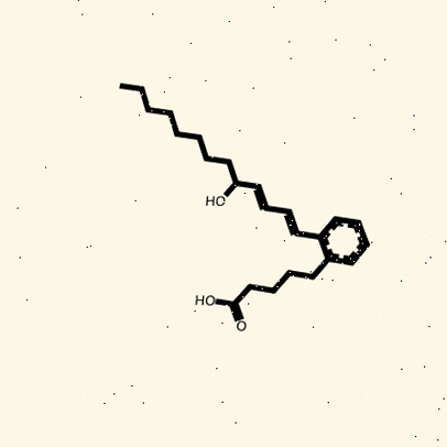 CCCCCCCCC(O)/C=C/C=C/c1ccccc1CCCCC(=O)O